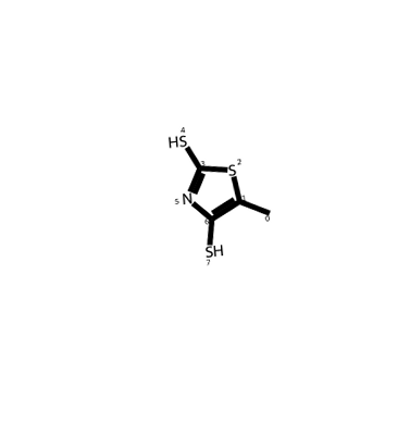 Cc1sc(S)nc1S